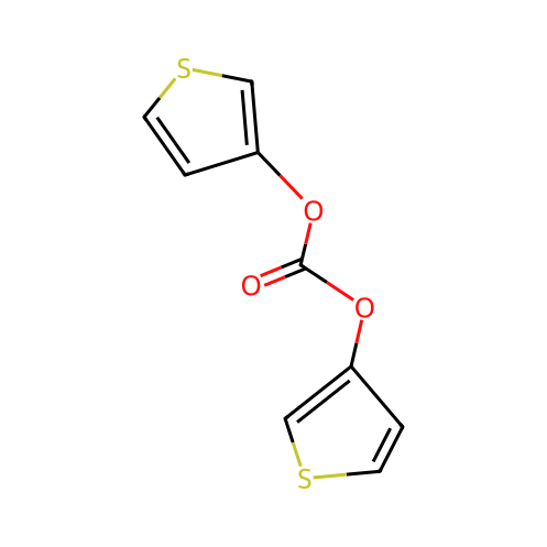 O=C(Oc1ccsc1)Oc1ccsc1